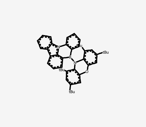 CC(C)(C)c1cc2c(c(C(C)(C)C)c1)N(B1c3ccccc3-n3c4ccccc4c4cccc1c43)c1c(cc(C(C)(C)C)cc1C(C)(C)C)O2